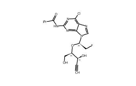 C#C[C@H](O)[C@@H](CO)O[C@H](CF)n1cnc2c(Cl)nc(NC(=O)C(C)C)nc21